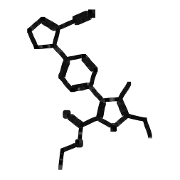 CCOC(=O)c1sc(CC)c(C)c1-c1ccc(C2CCC=C2C#N)cc1